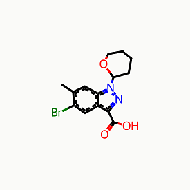 Cc1cc2c(cc1Br)c(C(=O)O)nn2C1CCCCO1